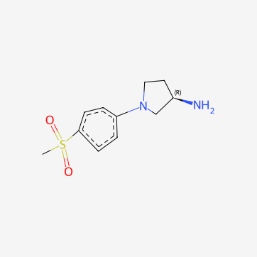 CS(=O)(=O)c1ccc(N2CC[C@@H](N)C2)cc1